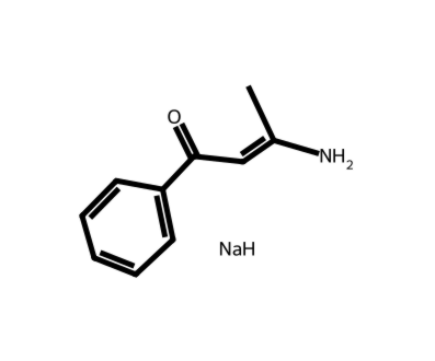 C/C(N)=C\C(=O)c1ccccc1.[NaH]